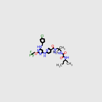 CCCC(CC)NC(=O)C(=O)NCC(C)(C)CNC(=O)c1ccc(Nc2cc(NCc3ccc(Cl)cc3)nc(OCC(F)(F)F)n2)nc1